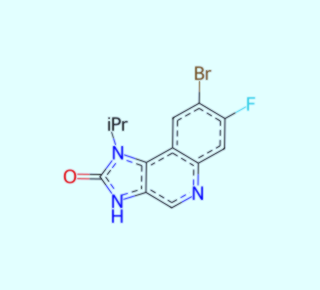 CC(C)n1c(=O)[nH]c2cnc3cc(F)c(Br)cc3c21